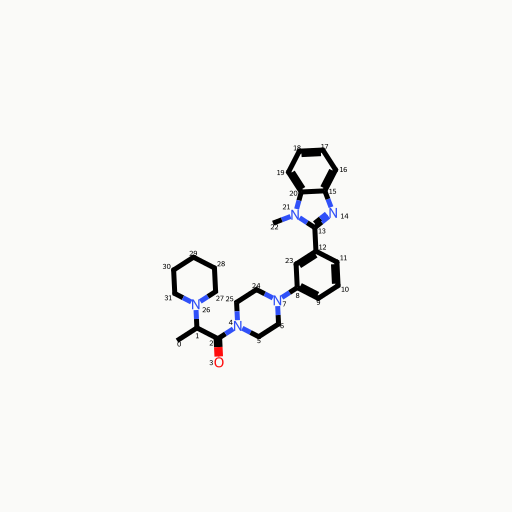 CC(C(=O)N1CCN(c2cccc(-c3nc4ccccc4n3C)c2)CC1)N1CCCCC1